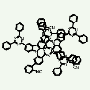 [C-]#[N+]c1ccccc1-c1ccc(-c2nc(-c3ccc(-c4cccc(C#N)c4)cc3)nc(-c3ccc(-c4ccccc4C#N)cc3-n3c4ccc(-c5nc(-c6ccccc6)nc(-c6ccccc6)n5)cc4c4cc(-c5nc(-c6ccccc6)nc(-c6ccccc6)n5)ccc43)n2)c(-n2c3ccc(-c4nc(-c5ccccc5)nc(-c5ccccc5)n4)cc3c3cc(-c4nc(-c5ccccc5)nc(-c5ccccc5)n4)ccc32)c1